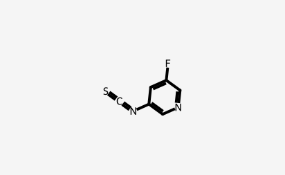 Fc1cncc(N=C=S)c1